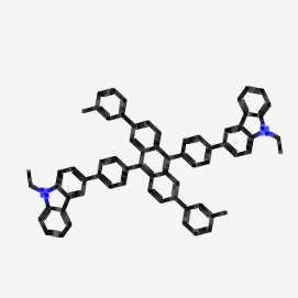 CCn1c2ccccc2c2cc(-c3ccc(-c4c5ccc(-c6cccc(C)c6)cc5c(-c5ccc(-c6ccc7c(c6)c6ccccc6n7CC)cc5)c5ccc(-c6cccc(C)c6)cc45)cc3)ccc21